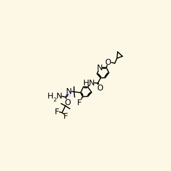 CC(C)(/N=C(/N)OC(C)(C)C(F)F)c1cc(NC(=O)c2ccc(OCC3CC3)nc2)ccc1F